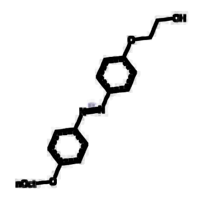 CCCCCCCCOc1ccc(/N=N/c2ccc(OCCO)cc2)cc1